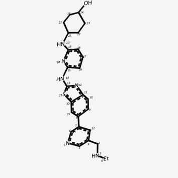 CCNCc1cncc(-c2ccc3nc(Nc4cccc(NC5CCC(O)CC5)n4)sc3c2)c1